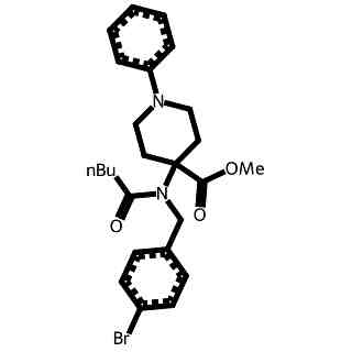 CCCCC(=O)N(Cc1ccc(Br)cc1)C1(C(=O)OC)CCN(c2ccccc2)CC1